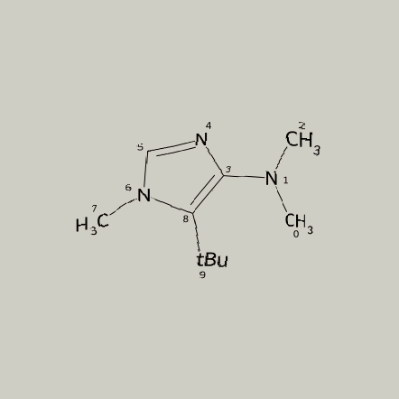 CN(C)c1ncn(C)c1C(C)(C)C